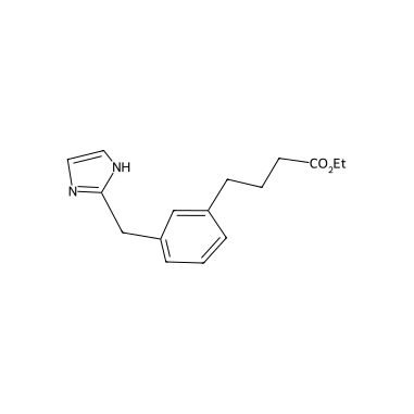 CCOC(=O)CCCc1cccc(Cc2ncc[nH]2)c1